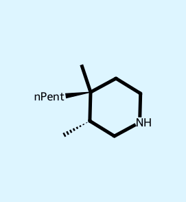 CCCCC[C@@]1(C)CCNC[C@@H]1C